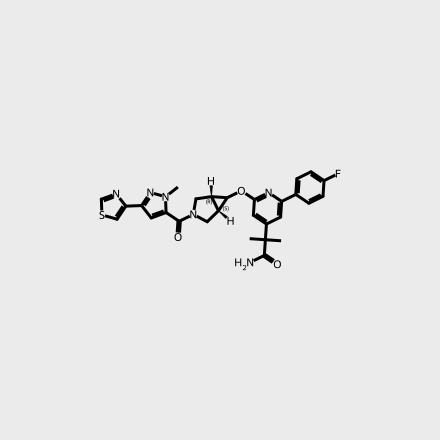 Cn1nc(-c2cscn2)cc1C(=O)N1C[C@@H]2C(Oc3cc(C(C)(C)C(N)=O)cc(-c4ccc(F)cc4)n3)[C@@H]2C1